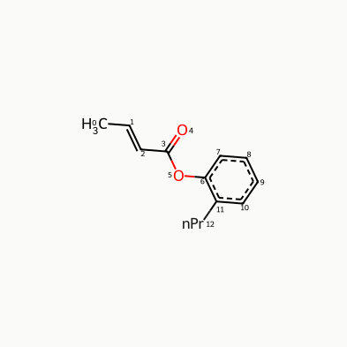 CC=CC(=O)Oc1ccccc1CCC